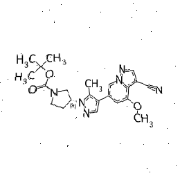 COc1cc(-c2cnn([C@@H]3CCN(C(=O)OC(C)(C)C)C3)c2C)cn2ncc(C#N)c12